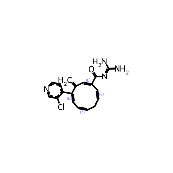 C=C1/C=C(C(=O)N=C(N)N)\C=C/C/C=C\C=C/1c1ccncc1Cl